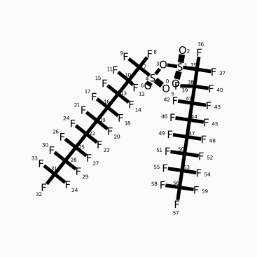 O=S(=O)(OS(=O)(=O)C(F)(F)C(F)(F)C(F)(F)C(F)(F)C(F)(F)C(F)(F)C(F)(F)C(F)(F)C(F)(F)F)C(F)(F)C(F)(F)C(F)(F)C(F)(F)C(F)(F)C(F)(F)C(F)(F)C(F)(F)F